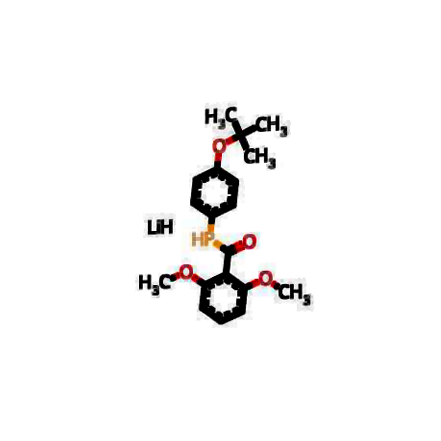 COc1cccc(OC)c1C(=O)Pc1ccc(OC(C)(C)C)cc1.[LiH]